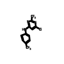 FC(F)(F)c1ccc(Nc2cc(Cl)nc(C(F)(F)F)n2)cc1